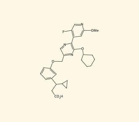 COc1cc(-c2ncc(COc3cccc(C(CC(=O)O)C4CC4)c3)nc2OC2CCCCC2)c(F)cn1